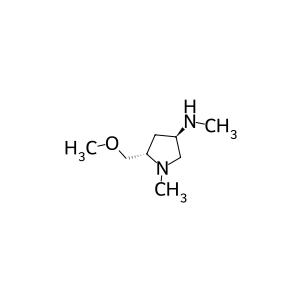 CN[C@@H]1C[C@@H](COC)N(C)C1